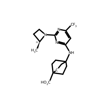 C[C@H]1CCN1c1nc(NC23CCC(C(=O)O)(CC2)CC3)cc(C(F)(F)F)n1